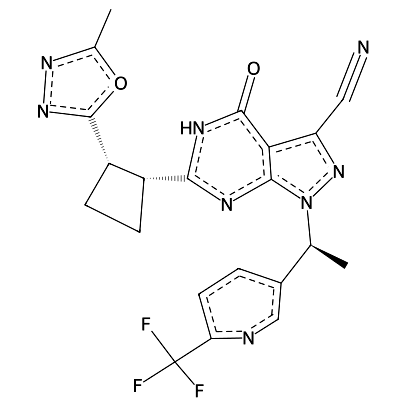 Cc1nnc([C@H]2CC[C@H]2c2nc3c(c(C#N)nn3[C@@H](C)c3ccc(C(F)(F)F)nc3)c(=O)[nH]2)o1